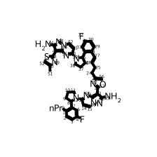 CCCc1ccc(F)cc1C1CCCN1c1ccn2nc(N)c(-c3nc(CC/C=C/c4ccc(F)cc4C4CCCN4c4ccn5nc(N)c(-c6nc(C)cs6)c5n4)co3)c2n1